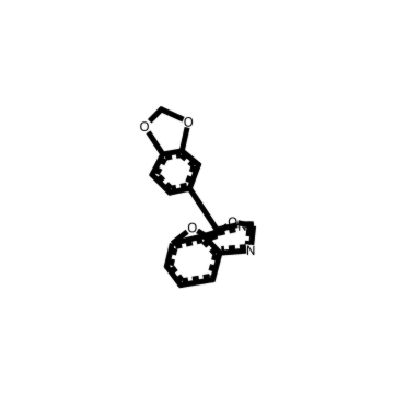 c1cc2c3c(-c4ccc5c(c4)OCO5)nc(nc3c1)OCO2